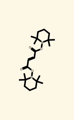 CC1(C)CCCC(C)(C)N1OC(=O)C=CC(=O)ON1C(C)(C)CCCC1(C)C